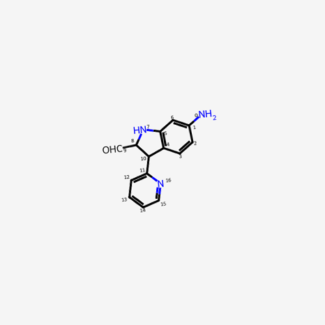 Nc1ccc2c(c1)NC(C=O)C2c1ccccn1